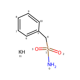 NS(=O)(=O)Cc1ccccc1.[KH]